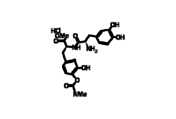 CNC(=O)Oc1ccc(C[C@H](NC(=O)[C@@H](N)Cc2ccc(O)c(O)c2)C(=O)OC)cc1O.Cl